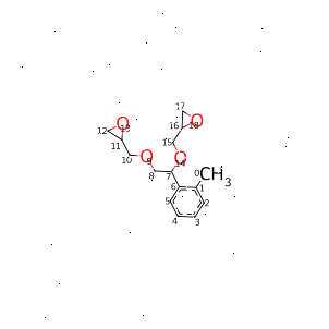 Cc1ccccc1C(COCC1CO1)OCC1CO1